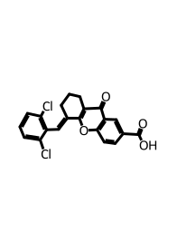 O=C(O)c1ccc2oc3c(c(=O)c2c1)CCCC3=Cc1c(Cl)cccc1Cl